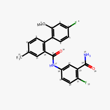 COc1cc(F)ccc1-c1ccc(C(F)(F)F)cc1C(=O)Nc1ccc(F)c(C(N)=O)c1